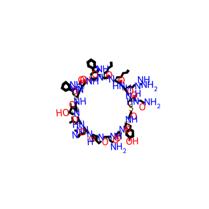 C=CCCC[C@H]1C(=O)N(C)[C@@H](CCCC=C)C(=O)N[C@@H](CCCNC(=N)N)C(=O)N[C@H](C(=O)NCC(N)=O)CSCC(=O)N[C@@H](Cc2ccc(O)cc2)C(=O)N(C)[C@@H](C)C(=O)N[C@@H](CC(N)=O)C(=O)N2CCC[C@H]2C(=O)N[C@@H](Cc2cnc[nH]2)C(=O)N[C@@H](CC(C)C)C(=O)N2C[C@H](O)C[C@H]2C(=O)N[C@@H](Cc2c[nH]c3ccccc23)C(=O)N[C@@H](CO)C(=O)N[C@@H](Cc2c[nH]c3ccccc23)C(=O)N1C